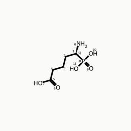 N[C@H](CCCC(=O)O)P(=O)(O)O